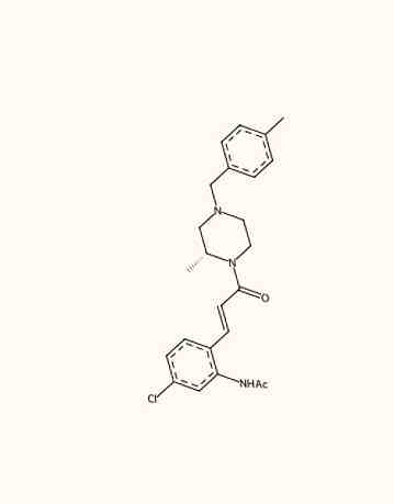 CC(=O)Nc1cc(Cl)ccc1/C=C/C(=O)N1CCN(Cc2ccc(C)cc2)C[C@H]1C